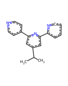 CC(C)c1cc(-c2ccncc2)nc(-c2ccccn2)c1